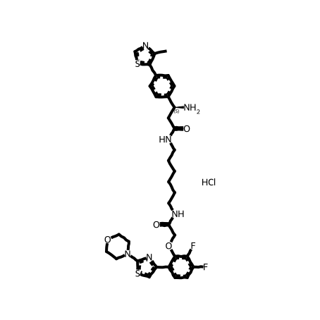 Cc1ncsc1-c1ccc([C@@H](N)CC(=O)NCCCCCCNC(=O)COc2c(-c3csc(N4CCOCC4)n3)ccc(F)c2F)cc1.Cl